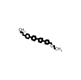 C/C=C/CC1CCC(c2ccc(-c3ccc(-c4ccc(COCCC)cc4)cc3)cc2)CC1